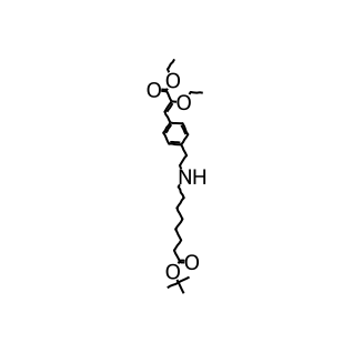 CCOC(=O)C(=Cc1ccc(CCNCCCCCCCC(=O)OC(C)(C)C)cc1)OCC